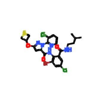 CC(C)CCNC(=O)c1cc(Cl)cc(Br)c1NC(=O)c1cc(OC2CSC2)nn1-c1ncccc1Cl